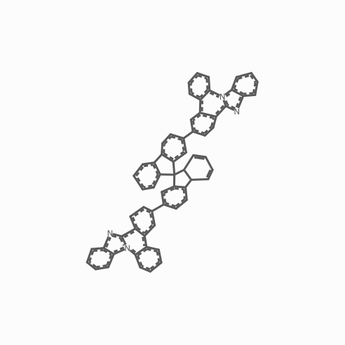 C1=CC2c3ccc(-c4ccc5c(c4)c4ccccc4n4c6ccccc6nc54)cc3C3(c4ccccc4-c4ccc(-c5ccc6c(c5)c5ccccc5n5c7ccccc7nc65)cc43)C2C=C1